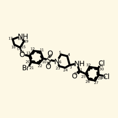 O=C(NC1CCN(S(=O)(=O)c2ccc(O[C@H]3CCNC3)c(Br)c2)CC1)c1ccc(Cl)c(Cl)c1